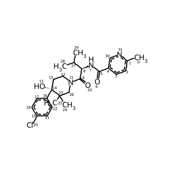 Cc1ccc(C(=O)N[C@@H](C(=O)N2CC[C@](O)(c3ccc(Cl)cc3)C(C)(C)C2)C(C)C)cn1